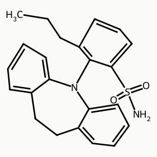 CCCc1cccc(S(N)(=O)=O)c1N1c2ccccc2CCc2ccccc21